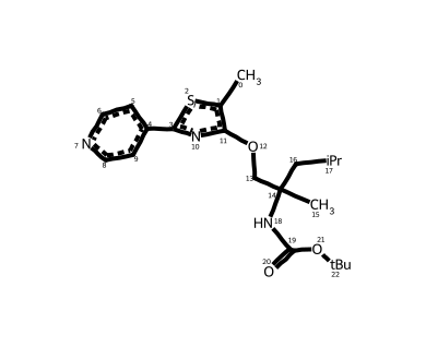 Cc1sc(-c2ccncc2)nc1OCC(C)(CC(C)C)NC(=O)OC(C)(C)C